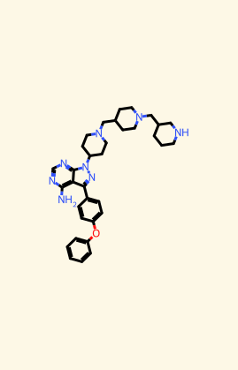 Nc1ncnc2c1c(-c1ccc(Oc3ccccc3)cc1)nn2C1CCN(CC2CCN(CC3CCCNC3)CC2)CC1